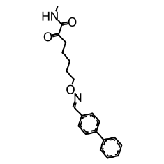 CNC(=O)C(=O)CCCCCON=Cc1ccc(-c2ccccc2)cc1